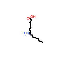 CCCCCCCC/C=C(/N)CCCCCCCC(=O)O